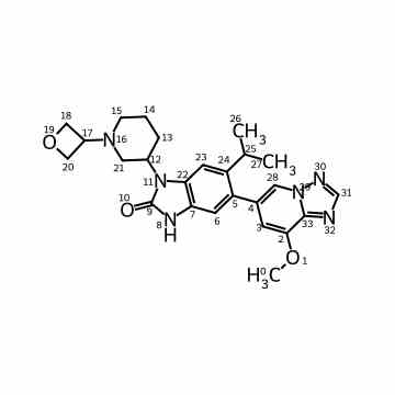 COc1cc(-c2cc3[nH]c(=O)n(C4CCCN(C5COC5)C4)c3cc2C(C)C)cn2ncnc12